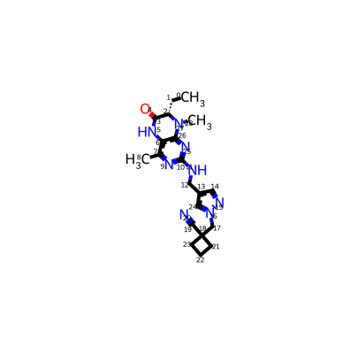 CC[C@H]1C(=O)Nc2c(C)nc(NCc3cnn(CC4(C#N)CCC4)c3)nc2N1C